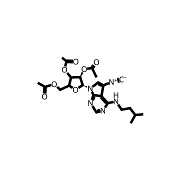 [C-]#[N+]c1cn([C@@H]2OC(COC(C)=O)C(OC(C)=O)[C@H]2OC(C)=O)c2ncnc(NCCC(C)C)c12